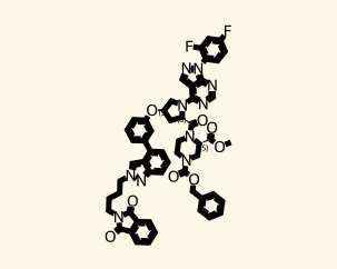 COC(=O)[C@@H]1CN(C(=O)OCc2ccccc2)CCN1C(=O)[C@@H]1C[C@H](Oc2cccc(-c3cccc4nn(CCCCN5C(=O)c6ccccc6C5=O)cc34)c2)CN1c1ncnc2c1cnn2-c1ccc(F)cc1F